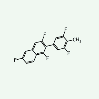 Cc1c(F)cc(-c2c(F)cc3cc(F)ccc3c2F)cc1F